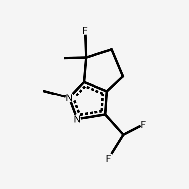 Cn1nc(C(F)F)c2c1C(C)(F)CC2